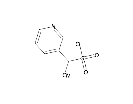 N#CC(c1cccnc1)S(=O)(=O)Cl